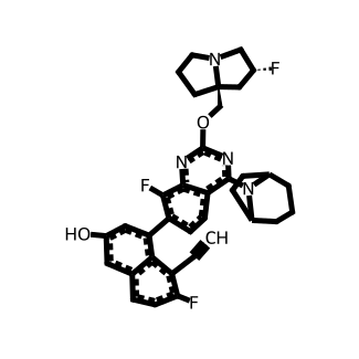 C#Cc1c(F)ccc2cc(O)cc(-c3ccc4c(N5C6CCCC5CC6)nc(OC[C@@]56CCCN5C[C@H](F)C6)nc4c3F)c12